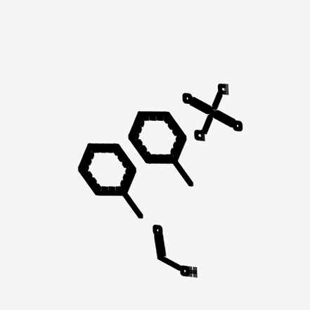 Cc1ccccc1.Cc1ccccc1.O=CO.O=S(=O)(Cl)Cl